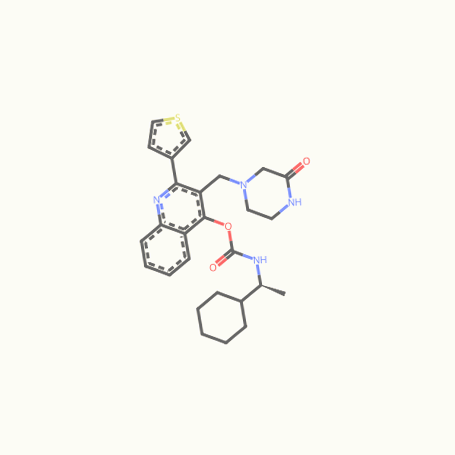 C[C@H](NC(=O)Oc1c(CN2CCNC(=O)C2)c(-c2ccsc2)nc2ccccc12)C1CCCCC1